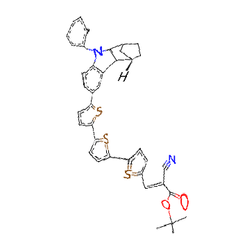 CC(C)(C)OC(=O)/C(C#N)=C/c1ccc(-c2ccc(-c3ccc(-c4ccc5c(c4)C4C(C6CC[C@H]4C6)N5c4ccccc4)s3)s2)s1